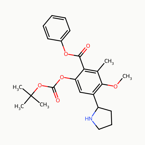 COc1c(C2CCCN2)cc(OC(=O)OC(C)(C)C)c(C(=O)Oc2ccccc2)c1C